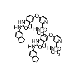 CNC(=O)c1cc(Oc2ccc(NC(=O)Nc3ccc4c(c3)CCC4)c(Cl)c2)ccn1.CNC(=O)c1cc(Oc2ccc(NC(=O)Nc3ccc4c(c3)CCC4)c(Cl)c2)ccn1